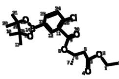 CCOC(=O)C[C@H](C)OC(=O)c1cc(B2OC(C)(C)C(C)(C)O2)ccc1Cl